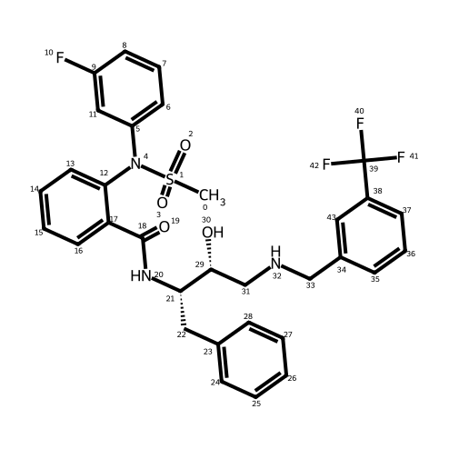 CS(=O)(=O)N(c1cccc(F)c1)c1ccccc1C(=O)N[C@@H](Cc1ccccc1)[C@H](O)CNCc1cccc(C(F)(F)F)c1